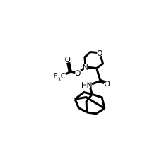 O=C(NC12CC3CC(CC(C3)C1)C2)C1COCCN1OC(=O)C(F)(F)F